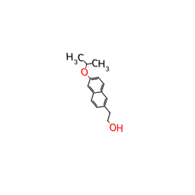 CC(C)Oc1ccc2cc(CCO)ccc2c1